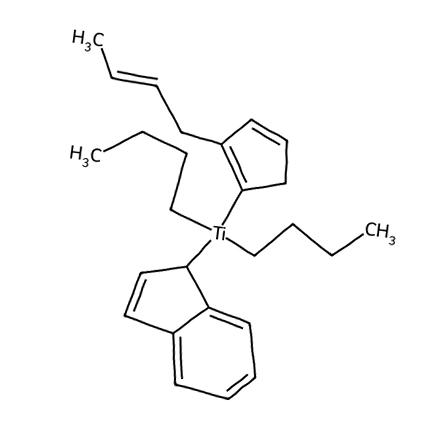 CC=CCC1=[C]([Ti]([CH2]CCC)([CH2]CCC)[CH]2C=Cc3ccccc32)CC=C1